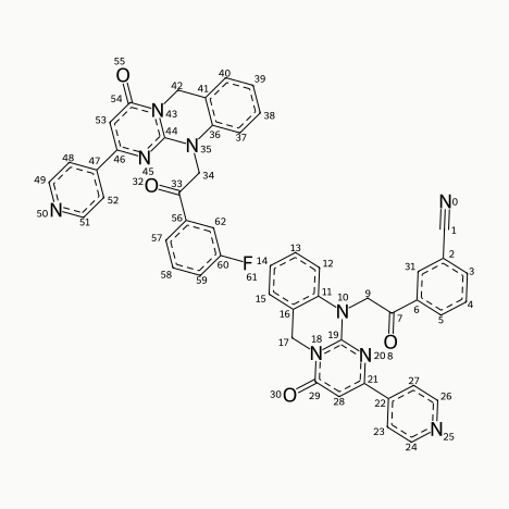 N#Cc1cccc(C(=O)CN2c3ccccc3Cn3c2nc(-c2ccncc2)cc3=O)c1.O=C(CN1c2ccccc2Cn2c1nc(-c1ccncc1)cc2=O)c1cccc(F)c1